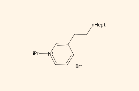 CCCCCCCCCc1ccc[n+](C(C)C)c1.[Br-]